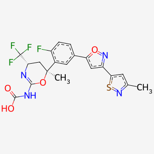 Cc1cc(-c2cc(-c3ccc(F)c([C@]4(C)C[C@@H](C(F)(F)F)N=C(NC(=O)O)O4)c3)on2)sn1